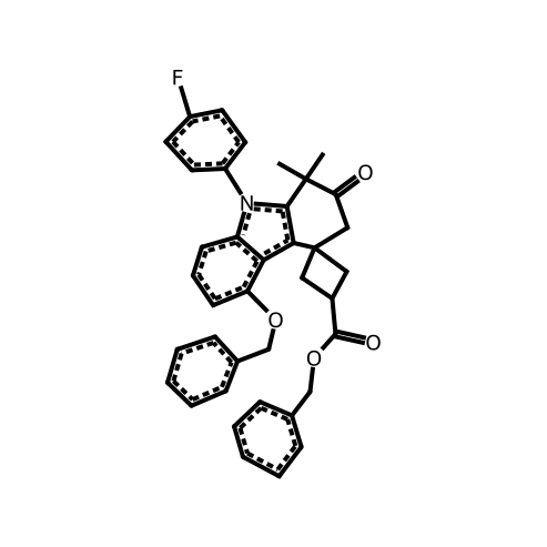 CC1(C)C(=O)CC2(CC(C(=O)OCc3ccccc3)C2)c2c1n(-c1ccc(F)cc1)c1cccc(OCc3ccccc3)c21